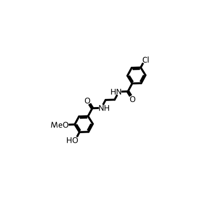 COc1cc(C(=O)NCCNC(=O)c2ccc(Cl)cc2)ccc1O